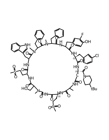 CC1NC(=O)C[C@@H](C(=O)N2CCC(C(C)(C)C)CC2)NC(=O)[C@H](Cc2cccc(Cl)c2)NC(=O)C(Cc2ccc(O)c(F)c2)NC(=O)C(Cc2ccccc2)N(C)C(=O)C(Cc2ccccc2)N(C)C(=O)C(Cc2c[nH]c3ccccc23)NC(=O)C(CCS(C)(=O)=O)NC(=O)C(CO)N(C)C(=O)NC(=O)[C@H](CCS(C)(=O)=O)NC1=O